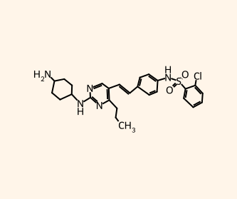 CCCc1nc(NC2CCC(N)CC2)ncc1/C=C/c1ccc(NS(=O)(=O)c2ccccc2Cl)cc1